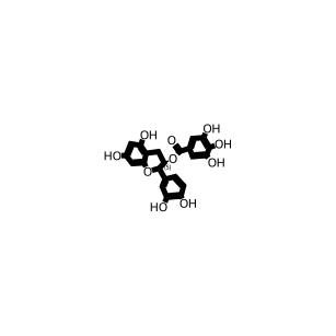 O=C(O[C@H]1Cc2c(O)cc(O)cc2OC1c1ccc(O)c(O)c1)c1cc(O)c(O)c(O)c1